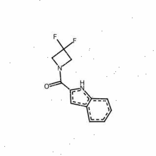 O=C(c1cc2ccccc2[nH]1)N1CC(F)(F)C1